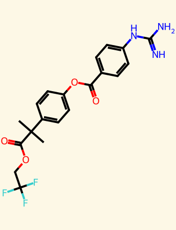 CC(C)(C(=O)OCC(F)(F)F)c1ccc(OC(=O)c2ccc(NC(=N)N)cc2)cc1